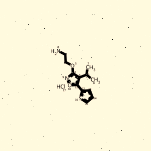 CC(C)c1c(OCCN)noc1-c1cccs1.Cl